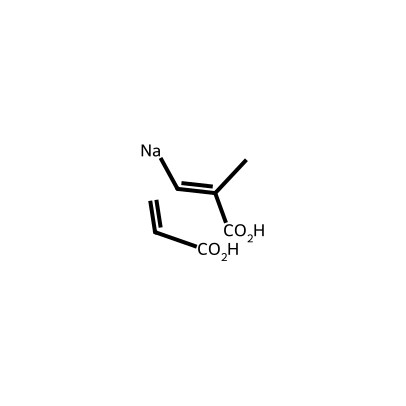 C=CC(=O)O.CC(=[CH][Na])C(=O)O